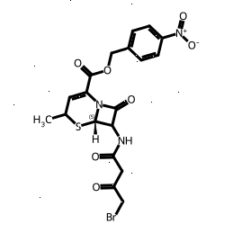 CC1C=C(C(=O)OCc2ccc([N+](=O)[O-])cc2)N2C(=O)C(NC(=O)CC(=O)CBr)[C@@H]2S1